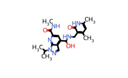 CNC(=O)c1cc(C(O)NCc2c(C)cc(C)[nH]c2=O)c2cnn(C(C)C)c2n1